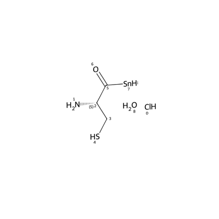 Cl.N[C@@H](CS)[C](=O)[SnH].O